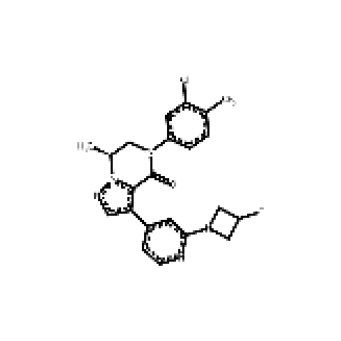 C[C@H]1CN(c2ccc(C(F)(F)F)c(Cl)c2)C(=O)c2c(-c3ccnc(N4CC(F)C4)c3)cnn21